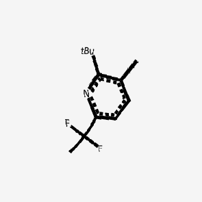 Cc1ccc(C(C)(F)F)nc1C(C)(C)C